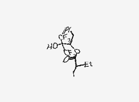 CCC(I)C(=O)OC(CC(C)C)C(O)(C(F)(F)F)C(F)(F)F